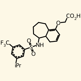 CC(C)c1cc(C(F)(F)F)cc(S(=O)(=O)NC2CCCCC3=C(OCC(=O)O)C=CCC32)c1